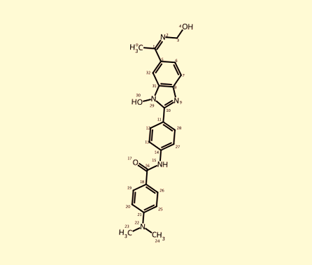 C/C(=N/CO)c1ccc2nc(-c3ccc(NC(=O)c4ccc(N(C)C)cc4)cc3)n(O)c2c1